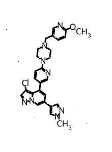 COc1ccc(CN2CCN(c3ccc(-c4cc(-c5cnn(C)c5)cn5ncc(Cl)c45)cn3)CC2)cn1